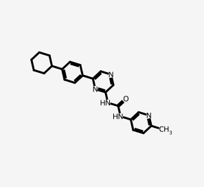 Cc1ccc(NC(=O)Nc2cncc(-c3ccc(C4CCCCC4)cc3)n2)cn1